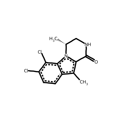 Cc1c2n(c3c(Cl)c(Cl)ccc13)[C@H](C)CNC2=O